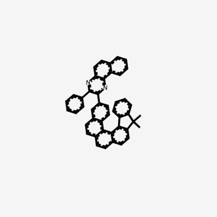 CC1(C)c2ccccc2-c2c1ccc1ccc3ccc4cc(-c5nc6c(ccc7ccccc76)nc5-c5ccccc5)ccc4c3c21